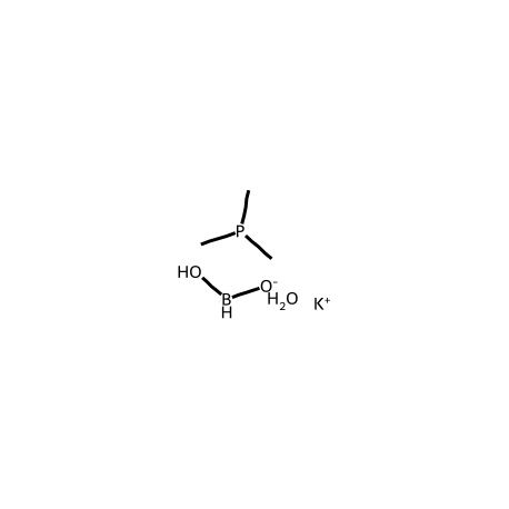 CP(C)C.O.[K+].[O-]BO